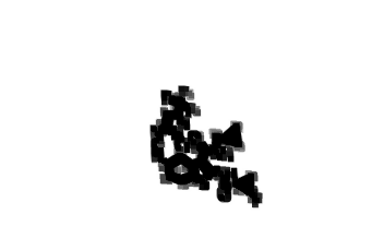 Cn1nc(C(F)(F)F)cc1N=C=N[C@H]1CCc2sc(NC(=O)[C@@H]3C[C@@H]3F)c(C(=O)NCC3CC3)c2C1